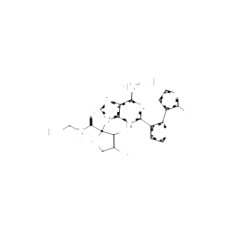 CCNC(=O)C1(n2cnc3c(NC)nc(-c4ccsc4-c4ccsc4Cl)nc32)OCC(O)C1O